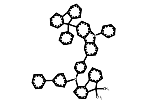 CC1(C)c2ccccc2-c2c(N(c3ccc(-c4ccccc4)cc3)c3ccc(-c4ccc5c(c4)c4cc(C6(c7ccccc7)c7ccccc7-c7ccccc76)ccc4n5-c4ccccc4)cc3)cccc21